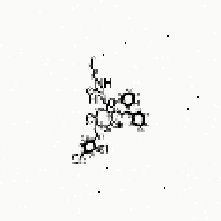 CCCCNC(=O)CNC(=O)C1CC(=O)N(CCc2ccc(Cl)cc2Cl)CC(=O)N1CCC(c1ccccc1)c1ccccc1